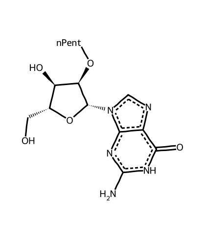 CCCCCO[C@@H]1[C@H](O)[C@@H](CO)O[C@H]1n1cnc2c(=O)[nH]c(N)nc21